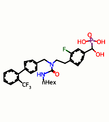 CCCCCCNC(=O)N(CCc1ccc(C(O)P(=O)(O)O)cc1F)Cc1ccc(-c2ccccc2C(F)(F)F)cc1